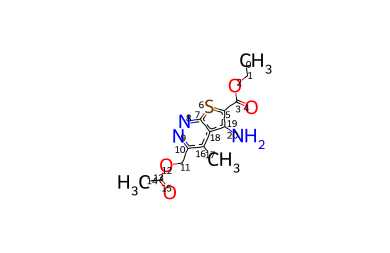 CCOC(=O)c1sc2nnc(COC(C)=O)c(C)c2c1N